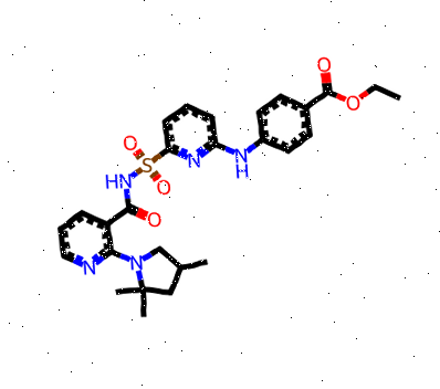 CCOC(=O)c1ccc(Nc2cccc(S(=O)(=O)NC(=O)c3cccnc3N3CC(C)CC3(C)C)n2)cc1